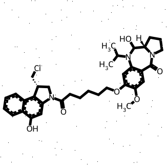 COc1cc2c(cc1OCCCCCC(=O)N1C[C@@H](CCl)c3c1cc(O)c1ccccc31)N(C(C)C)C(O)[C@@H]1CCCN1C2=O